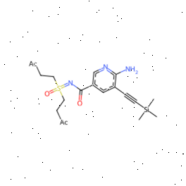 CC(=O)CCS(=O)(CCC(C)=O)=NC(=O)c1cnc(N)c(C#C[Si](C)(C)C)c1